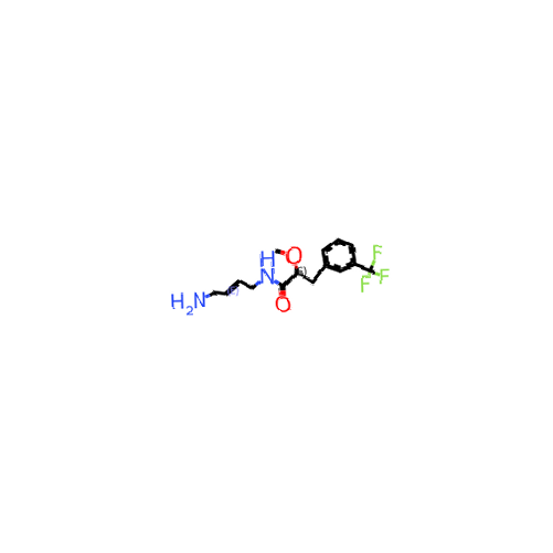 CO[C@@H](Cc1cccc(C(F)(F)F)c1)C(=O)NC/C=C/CN